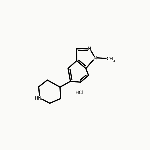 Cl.Cn1ncc2cc(C3CCNCC3)ccc21